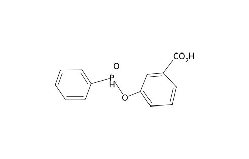 O=C(O)c1cccc(O[PH](=O)c2ccccc2)c1